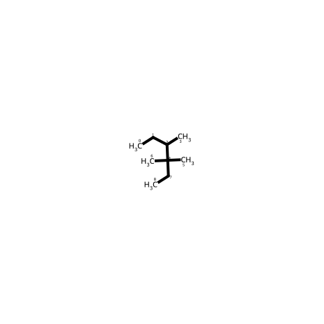 CCC(C)C(C)(C)CC